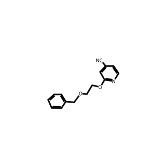 N#Cc1ccnc(OCCOCc2ccccc2)c1